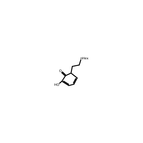 CCCCCCCCC1C=CC=C(O)C1=O